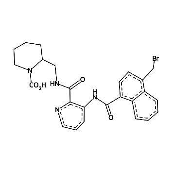 O=C(NCC1CCCCN1C(=O)O)c1ncccc1NC(=O)c1ccc(CBr)c2ccccc12